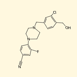 N#Cc1ccc(N2CCN(Cc3ccc(CO)c(Cl)c3)CC2)c(F)c1